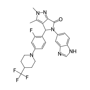 Cc1c2c(nn1C)C(=O)N(c1ccc3[nH]cnc3c1)C2c1ccc(N2CCC(C(F)(F)F)CC2)cc1F